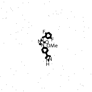 COc1cc(-c2cn[nH]c2)ccc1-n1cnn(Cc2cc(F)ccc2F)c1=O